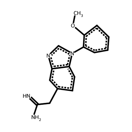 COc1ccccc1-n1cnc2cc(CC(=N)N)ccc21